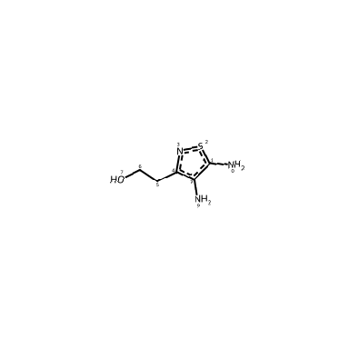 Nc1snc(CCO)c1N